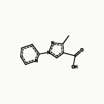 Cc1nn(-c2ccccn2)cc1C(=O)O